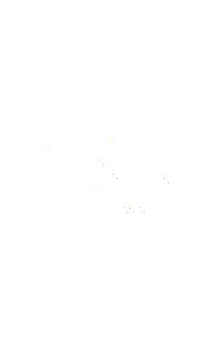 CNc1cnc2ccccc2c1CN1C(=O)N(c2ccc(OC(F)(F)F)cc2)C(=O)C1(C)C